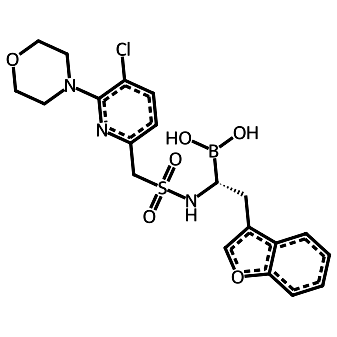 O=S(=O)(Cc1ccc(Cl)c(N2CCOCC2)n1)N[C@@H](Cc1coc2ccccc12)B(O)O